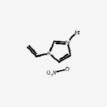 C=Cn1cc[n+](CC)c1.O=[N+]([O-])[O-]